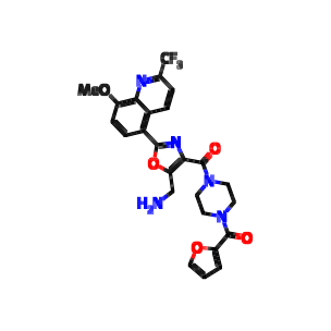 COc1ccc(-c2nc(C(=O)N3CCN(C(=O)c4ccco4)CC3)c(CN)o2)c2ccc(C(F)(F)F)nc12